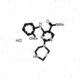 CNC(=O)c1cnc(N2CCCNCC2)nc1Nc1ccccc1OC.Cl